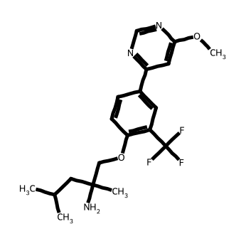 COc1cc(-c2ccc(OCC(C)(N)CC(C)C)c(C(F)(F)F)c2)ncn1